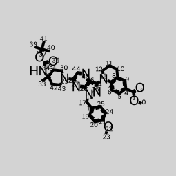 COC(=O)c1ccc2c(c1)CCCN2c1nn(Cc2ccc(OC)cc2)c2nc(N3CCC(C)(NC(=O)OC(C)(C)C)CC3)cnc12